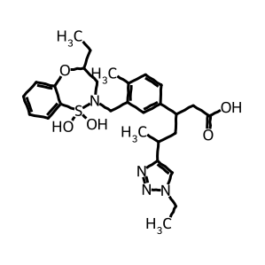 CCC1CN(Cc2cc(C(CC(=O)O)CC(C)c3cn(CC)nn3)ccc2C)S(O)(O)c2ccccc2O1